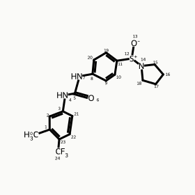 Cc1cc(NC(=O)Nc2ccc([S+]([O-])N3CCCC3)cc2)ccc1C(F)(F)F